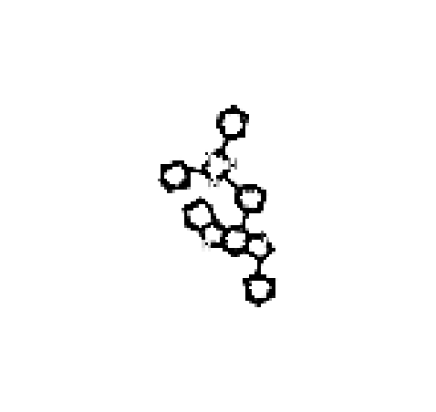 C1=CCC2=c3c(-c4cccc(-c5nc(-c6ccccc6)nc(-c6ccccc6)n5)c4)c4c(cc3=NC2=C1)C(c1ccccc1)C=N4